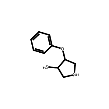 SC1CNCC1Oc1ccccc1